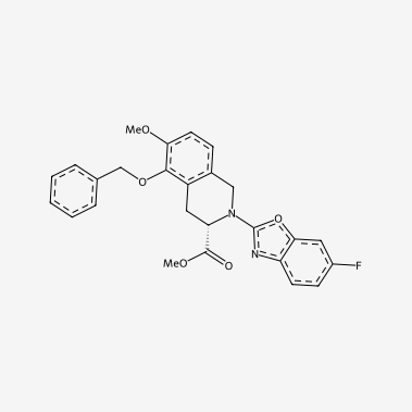 COC(=O)[C@@H]1Cc2c(ccc(OC)c2OCc2ccccc2)CN1c1nc2ccc(F)cc2o1